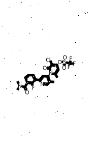 Cc1cnc(-c2cccc(C(=O)N(C)C)c2F)cc1-n1c(C)cc(OS(=O)(=O)C(F)(F)F)c(Cl)c1=O